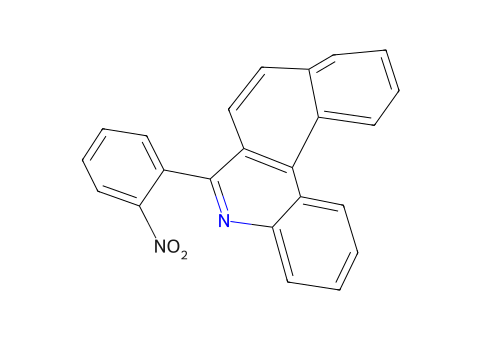 O=[N+]([O-])c1ccccc1-c1nc2ccccc2c2c1ccc1ccccc12